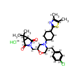 Cc1nc(C2CCC(N3C[C@H](CN4C(=O)C5C(C4=O)C5(C)C)OC[C@@H]3Cc3ccc(Cl)cc3)CC2)sc1C.Cl